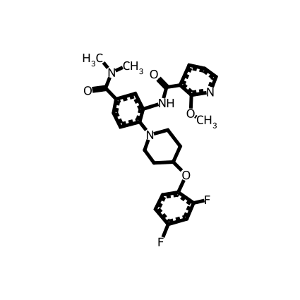 COc1ncccc1C(=O)Nc1cc(C(=O)N(C)C)ccc1N1CCC(Oc2ccc(F)cc2F)CC1